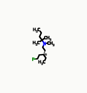 CCCC(C)(C)N(C)CC[C@H](CC)CCF